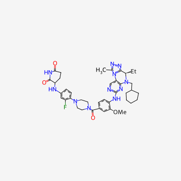 CC[C@@H]1c2nnc(C)n2-c2cnc(Nc3ccc(C(=O)N4CCN(c5ccc(NC6CCC(=O)NC6=O)cc5F)CC4)cc3OC)nc2N1CC1CCCCC1